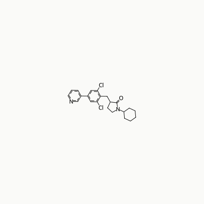 O=C1C(Cc2c(Cl)cc(-c3cccnc3)cc2Cl)CCN1C1CCCCC1